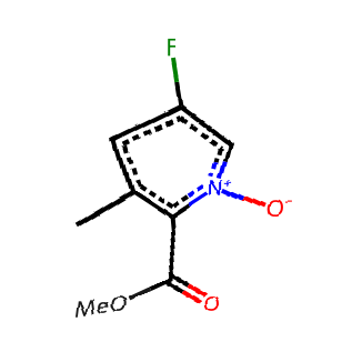 COC(=O)c1c(C)cc(F)c[n+]1[O-]